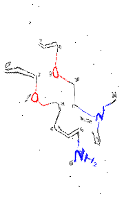 C=COCC=CN.C=COCCN(C)C